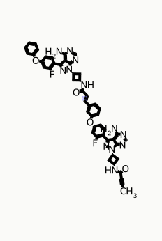 CC#CC(=O)N[C@H]1C[C@@H](n2nc(-c3ccc(Oc4cccc(/C=C/C(=O)N[C@H]5C[C@@H](n6nc(-c7ccc(Oc8ccccc8)cc7F)c7c(N)ncnc76)C5)c4)cc3F)c3c(N)ncnc32)C1